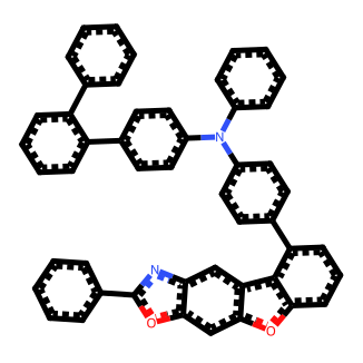 c1ccc(-c2nc3cc4c(cc3o2)oc2cccc(-c3ccc(N(c5ccccc5)c5ccc(-c6ccccc6-c6ccccc6)cc5)cc3)c24)cc1